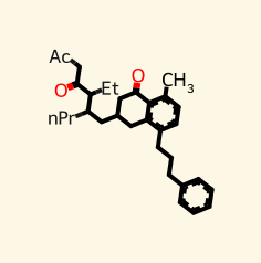 CCCC(CC1CC(=O)c2c(C)ccc(CCCc3ccccc3)c2C1)C(CC)C(=O)CC(C)=O